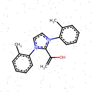 C=C(O)c1n(-c2ccccc2C)cc[n+]1-c1ccccc1C